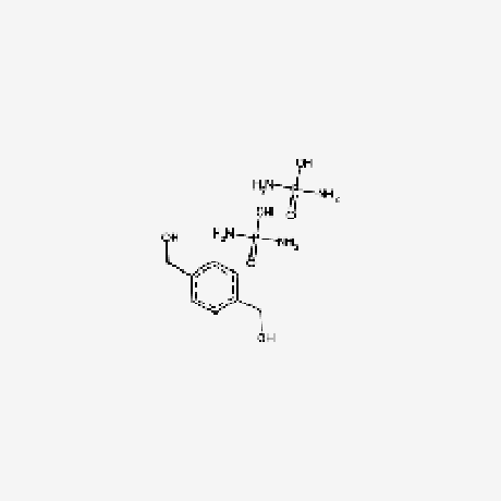 NP(N)(=O)O.NP(N)(=O)O.OCc1ccc(CO)cc1